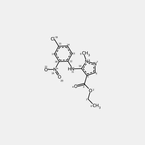 CCOC(=O)c1cnn(C)c1Nc1ccc(Cl)cc1[N+](=O)[O-]